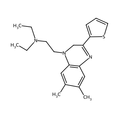 CCN(CC)CCN1CC(c2cccs2)=Nc2cc(C)c(C)cc21